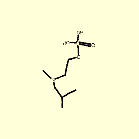 CC(C)CN(C)CCOP(=O)(O)O